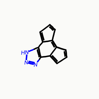 C1=Cc2c3c(c4[nH]nnc4c2=C1)=CC=C3